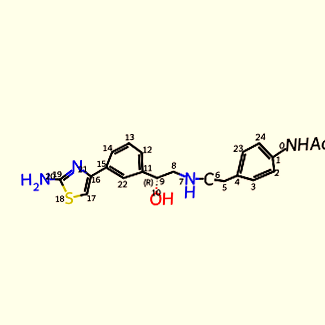 CC(=O)Nc1ccc(CCNC[C@H](O)c2cccc(-c3csc(N)n3)c2)cc1